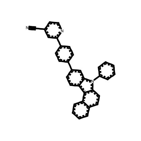 N#Cc1ccnc(-c2ccc(-c3ccc4c5c6ccccc6ccc5n(-c5ccccc5)c4c3)cc2)c1